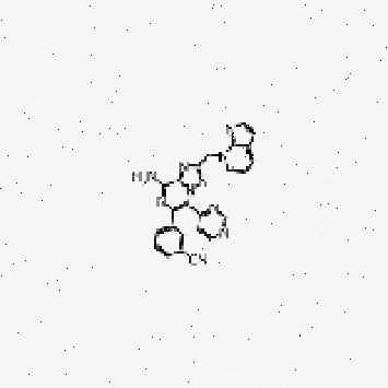 N#Cc1cccc(-c2nc(N)c3nc(Cn4cccc5ccnc4-5)nn3c2-c2ccncn2)c1